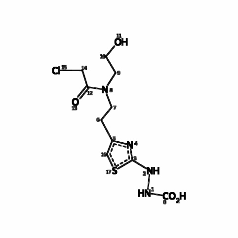 O=C(O)NNc1nc(CCN(CCO)C(=O)CCl)cs1